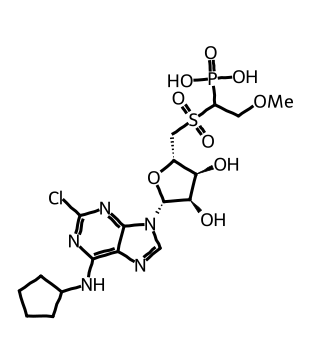 COCC(P(=O)(O)O)S(=O)(=O)C[C@H]1O[C@@H](n2cnc3c(NC4CCCC4)nc(Cl)nc32)[C@H](O)[C@@H]1O